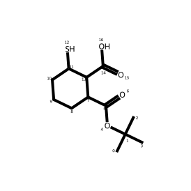 CC(C)(C)OC(=O)C1CCCC(S)C1C(=O)O